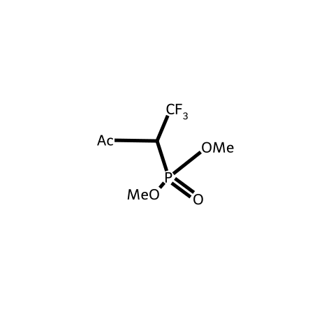 COP(=O)(OC)C(C(C)=O)C(F)(F)F